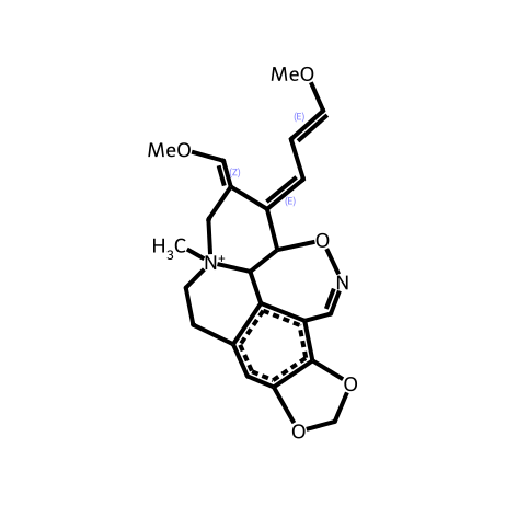 CO\C=C1/C[N+]2(C)CCc3cc4c(c5c3C2C(ON=C5)/C1=C/C=C/OC)OCO4